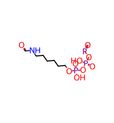 O=CNCCCCCCOP(=O)(O)OP(=O)(O)OP=O